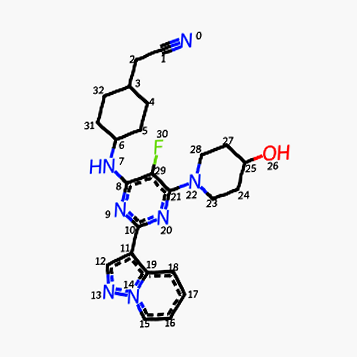 N#CCC1CCC(Nc2nc(-c3cnn4ccccc34)nc(N3CCC(O)CC3)c2F)CC1